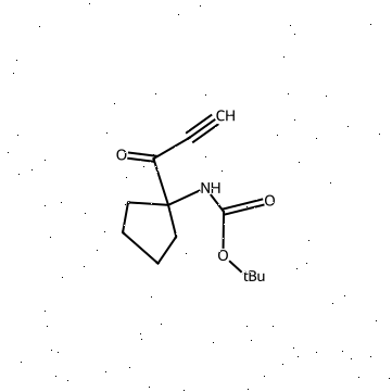 C#CC(=O)C1(NC(=O)OC(C)(C)C)CCCC1